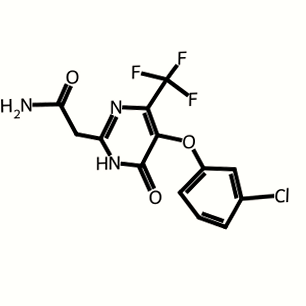 NC(=O)Cc1nc(C(F)(F)F)c(Oc2cccc(Cl)c2)c(=O)[nH]1